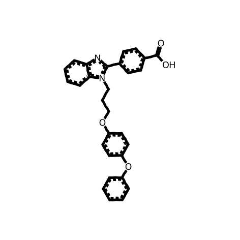 O=C(O)c1ccc(-c2nc3ccccc3n2CCCOc2ccc(Oc3ccccc3)cc2)cc1